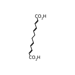 O=C(O)C=CC=CCCC=CC=CC(=O)O